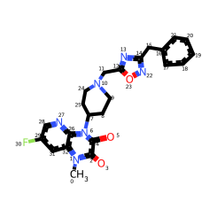 Cn1c(=O)c(=O)n(C2CCN(Cc3nc(Cc4ccccc4)no3)CC2)c2ncc(F)cc21